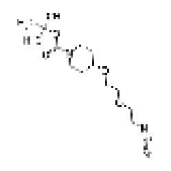 CC(C)(C)OC(=O)N1CCC(OCCOCCN=[N+]=[N-])CC1